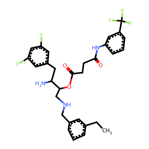 CCc1cccc(CNCC(OC(=O)CCC(=O)Nc2cccc(C(F)(F)F)c2)C(N)Cc2cc(F)cc(F)c2)c1